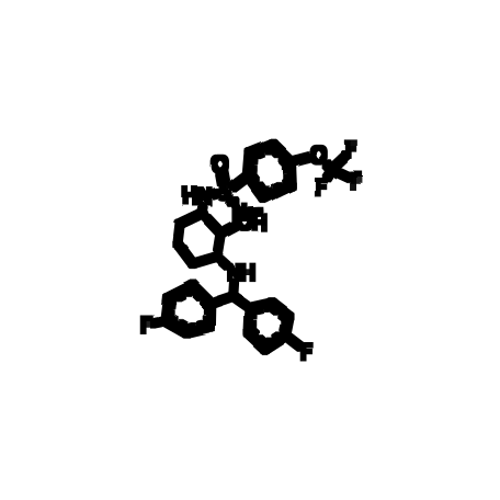 CN=S(=O)(NC1CCCC(NC(c2ccc(F)cc2)c2ccc(F)cc2)C1O)c1ccc(OC(F)(F)F)cc1